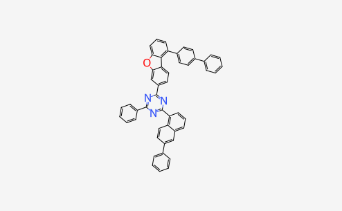 c1ccc(-c2ccc(-c3cccc4oc5cc(-c6nc(-c7ccccc7)nc(-c7cccc8cc(-c9ccccc9)ccc78)n6)ccc5c34)cc2)cc1